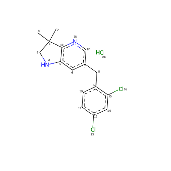 CC1(C)CNc2cc(Cc3ccc(Cl)cc3Cl)cnc21.Cl